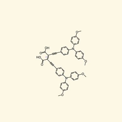 COc1ccc(N(c2ccc(C#C/C(C(=O)O)=C(\C#Cc3ccc(N(c4ccc(OC)cc4)c4ccc(OC)cc4)cc3)C(=O)O)cc2)c2ccc(OC)cc2)cc1